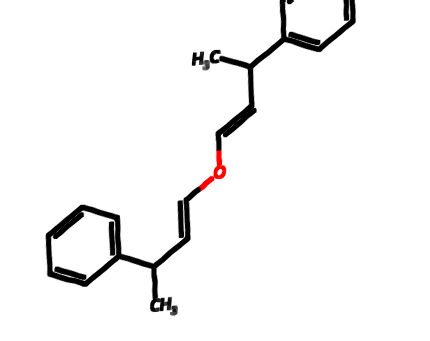 CC(C=COC=CC(C)c1ccccc1)c1ccccc1